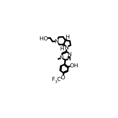 CN1C=C(N2CC[C@H]3CCN(CCO)C[C@H]32)N=NC1c1ccc(OC(F)(F)F)cc1O